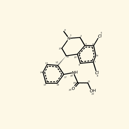 CN1Cc2c(Cl)cc(Cl)cc2[C@H](c2ccccc2NC(=O)CO)C1